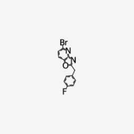 Fc1ccc(Cc2nc3nc(Br)ccc3o2)cc1